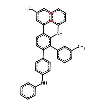 Cc1cccc(-c2ccc(-c3ccc(Nc4ccccc4)cc3)c(-c3cccc(C)c3)c2Nc2ccccc2)c1